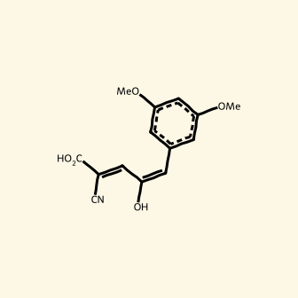 COc1cc(/C=C(O)\C=C(/C#N)C(=O)O)cc(OC)c1